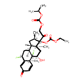 CCOC(=O)O[C@]1(C(=O)COC(=O)OC(C)C)[C@H](C)C[C@H]2[C@@H]3C[C@H](F)C4=CC(=O)C=C[C@]4(C)[C@@]3(F)[C@@H](O)C[C@@]21C